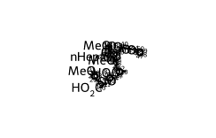 C=C1C[C@@H](C[C@H]2C[C@@H](O)C[C@@H](CC(CC(=O)O)OCc3ccc(OC)cc3)O2)O[C@@H](C=CC(C)(C)[C@]2(OC)O[C@H](C[C@@H](O)[C@@H](C)OCOCc3ccccc3)CC(=CC(=O)OC)[C@@H]2OC(=O)CCCCCCC)C1